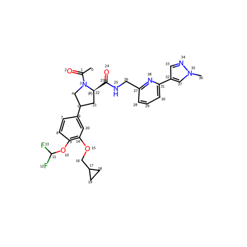 CC(=O)N1CC(c2ccc(OC(F)F)c(OCC3CC3)c2)C[C@@H]1C(=O)NCc1cccc(-c2cnn(C)c2)n1